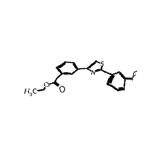 CCOC(=O)c1cccc(-c2csc(-c3cccc(F)c3)n2)c1